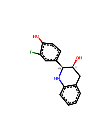 Oc1ccc([C@@H]2Nc3ccccc3C[C@@H]2O)cc1F